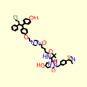 Cc1ncsc1-c1ccc(CNC(=O)[C@@H]2C[C@@H](O)CN2C(=O)C(NC(=O)CCCC(=O)N2CCN(CCOc3ccc(C(=C(CCCl)c4ccccc4)c4ccc(O)cc4)cc3)CC2)C(C)(C)C)cc1